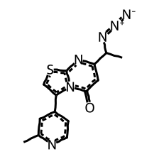 Cc1cc(-c2csc3nc(C(C)N=[N+]=[N-])cc(=O)n23)ccn1